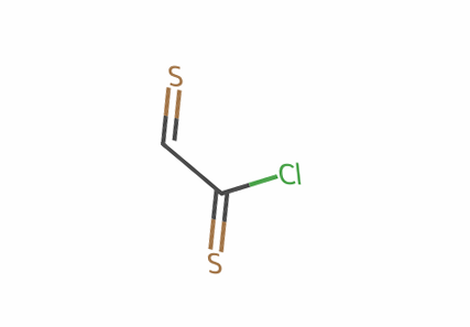 S=CC(=S)Cl